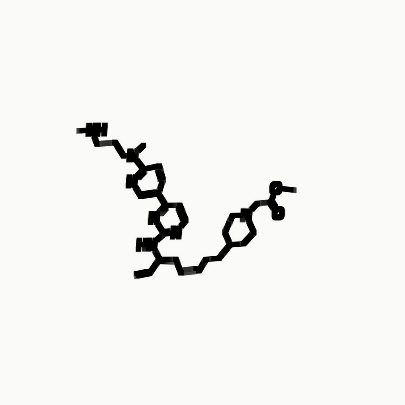 C=C/C(=C\C=C/CCC1CCN(CC(=O)OC)CC1)Nc1nccc(-c2ccc(N(C)CCCNC)nc2)n1